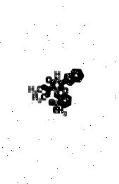 CCC(CC)C1C(=O)NC(C2Cc3ccccc3C2)C(=O)N1Cc1ccccc1[S+](C)[O-]